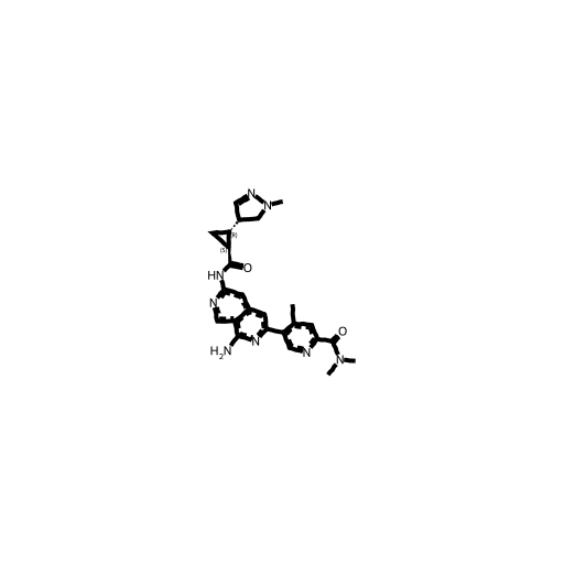 Cc1cc(C(=O)N(C)C)ncc1-c1cc2cc(NC(=O)[C@H]3C[C@@H]3C3C=NN(C)C3)ncc2c(N)n1